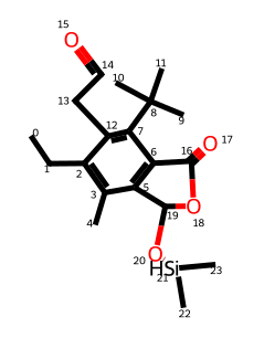 CCc1c(C)c2c(c(C(C)(C)C)c1CC=O)C(=O)OC2O[SiH](C)C